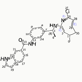 CC1\C=C(N[C@@H](C)c2cccc(NC(=O)c3ccc4cc[nH]c4c3)c2)/N=C(Cl)\C=C\C1